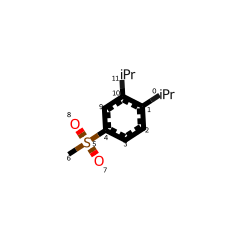 CC(C)c1ccc(S(C)(=O)=O)cc1C(C)C